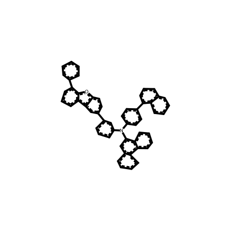 c1ccc(-c2cccc3c2oc2ccc(-c4cccc(N(c5ccc(-c6cccc7ccccc67)cc5)c5cc6ccccc6c6ccccc56)c4)cc23)cc1